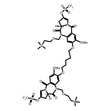 COc1cc2c(cc1OCCCCCOc1cc3c(cc1OC)C(=O)N1C=C(OS(=O)(=O)C(F)(F)F)C[C@H]1C(=O)N3COCC[Si](C)(C)C)N(COCC[Si](C)(C)C)C(=O)[C@@H]1CC(OS(=O)(=O)C(F)(F)F)=CN1C2=O